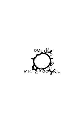 C=C1NC2(O)CC(O1)C(C)C1OC1(C)C(OC(=O)C(C)N(C)C(C)C)CC(=O)N(C)c1cc(cc(OC)c1Cl)C/C(C)=C/C=C/C2OC